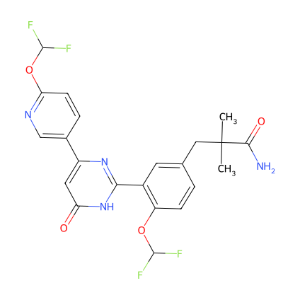 CC(C)(Cc1ccc(OC(F)F)c(-c2nc(-c3ccc(OC(F)F)nc3)cc(=O)[nH]2)c1)C(N)=O